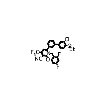 CCOc1ccc(-c2cccc(-c3cc(C(F)(F)F)c(C#N)c(=O)n3Cc3ccc(F)cc3F)c2)cc1Cl